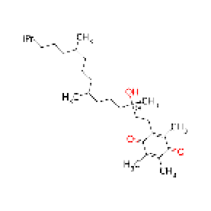 CC1=C(C)C(=O)C(CC[C@@](C)(O)CCCC(C)CCCC(C)CCCC(C)C)=C(C)C1=O